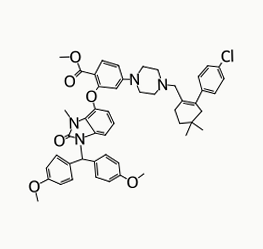 COC(=O)c1ccc(N2CCN(CC3=C(c4ccc(Cl)cc4)CC(C)(C)CC3)CC2)cc1Oc1cccc2c1n(C)c(=O)n2C(c1ccc(OC)cc1)c1ccc(OC)cc1